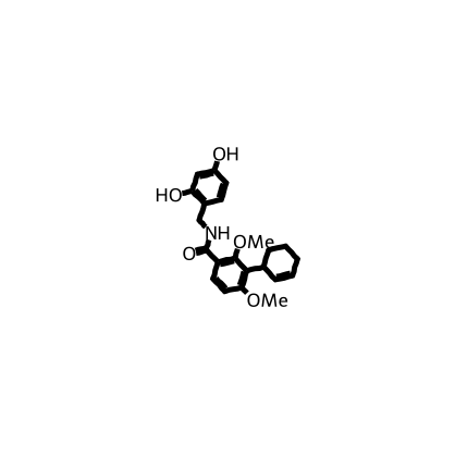 COc1ccc(C(=O)NCc2ccc(O)cc2O)c(OC)c1C1C=CCCC1